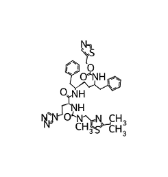 CC(C)c1nc(CN(C)C(=O)N[C@@H](CCn2cnnc2)C(=O)N[C@H](CC[C@H](Cc2ccccc2)NC(=O)OCc2cncs2)Cc2ccccc2)cs1